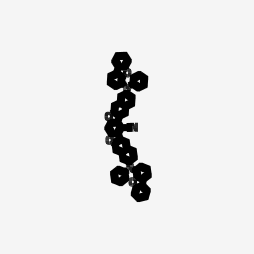 N#Cc1c2c(cc3oc4cc5cc(N(c6ccccc6)c6cccc7c6oc6ccccc67)ccc5cc4c13)oc1cc3cc(N(c4ccccc4)c4cccc5c4oc4ccccc45)ccc3cc12